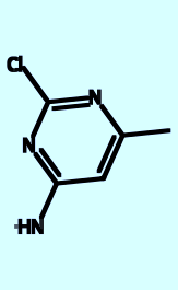 Cc1cc([NH])nc(Cl)n1